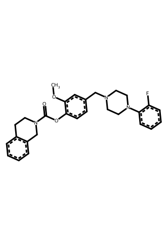 COc1cc(CN2CCN(c3ccccc3F)CC2)ccc1OC(=O)N1CCc2ccccc2C1